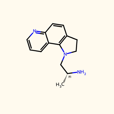 C[C@@H](N)CN1CCc2ccc3ncccc3c21